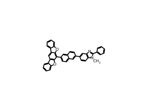 Cn1c(-c2ccccc2)nc2cc(-c3ccc4cc(-c5c6oc7ccccc7c6cc6c5oc5ccccc56)ccc4c3)ccc21